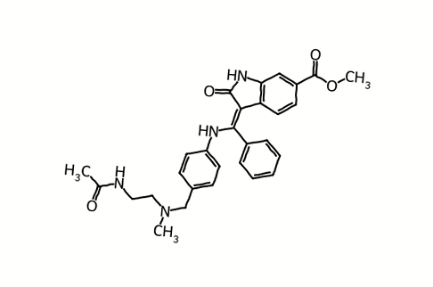 COC(=O)c1ccc2c(c1)NC(=O)/C2=C(\Nc1ccc(CN(C)CCNC(C)=O)cc1)c1ccccc1